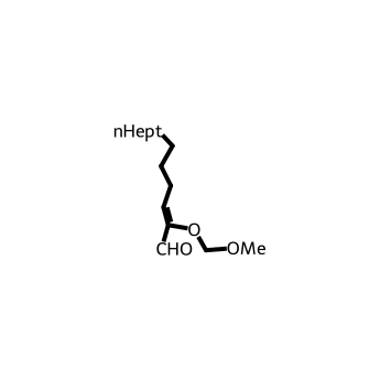 CCCCCCCCCCC=C(C=O)OCOC